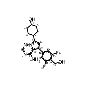 Nc1ncnn2c(C3CCC(O)CC3)cc(-c3cc(F)c(CO)c(F)c3)c12